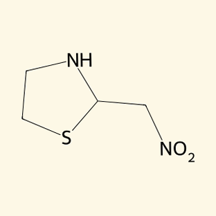 O=[N+]([O-])CC1NCCS1